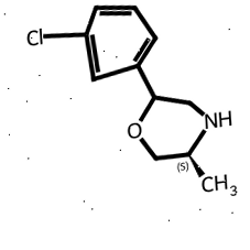 C[C@H]1COC(c2cccc(Cl)c2)CN1